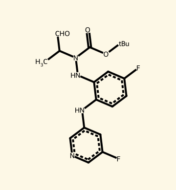 CC(C=O)N(Nc1cc(F)ccc1Nc1cncc(F)c1)C(=O)OC(C)(C)C